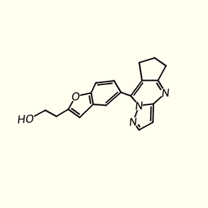 OCCc1cc2cc(-c3c4c(nc5ccnn35)CCC4)ccc2o1